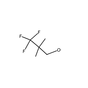 CC(C)(C[O])C(F)(F)F